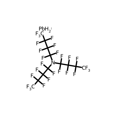 FC(F)(F)C(F)(F)C(F)(F)C(F)(F)N(C(F)(F)C(F)(F)C(F)(F)C(F)(F)F)C(F)(F)C(F)(F)C(F)(F)C(F)(F)F.[PbH2]